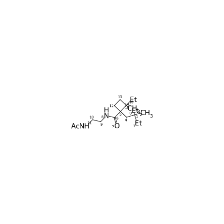 CCC(C)(CC)CC1(C(=O)NCCNC(C)=O)CCC1(C)CC